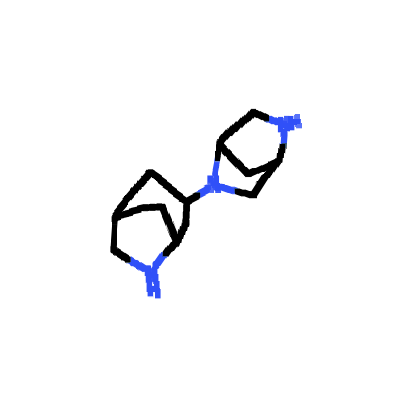 C1NC2CC1CC2N1CC2CC1CN2